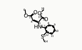 COC(=O)/C=C(/Nc1ccccc1SC)C(=O)OC